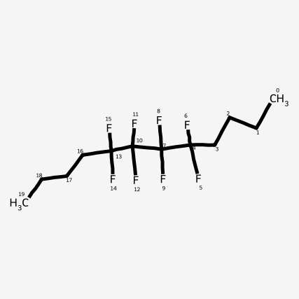 CCCCC(F)(F)C(F)(F)C(F)(F)C(F)(F)CCCC